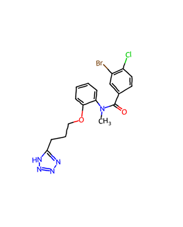 CN(C(=O)c1ccc(Cl)c(Br)c1)c1ccccc1OCCCc1nnn[nH]1